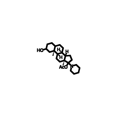 CC(=O)OC1(N2CCCCC2)CC[C@H]2[C@@H]3CCC4CCC(O)C[C@]4(C)[C@@H]3CC[C@@]21C